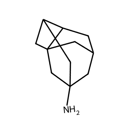 NC12CC3CC4C(C1)CC4(C3)C2